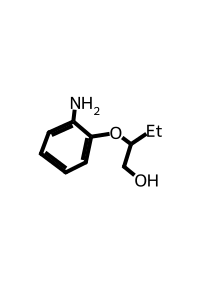 CCC(CO)Oc1ccccc1N